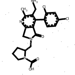 Cc1nc2c(c(-c3ccc(Cl)cc3Cl)c1CN)C(=O)N(CC1CCCN1C(=O)O)C2